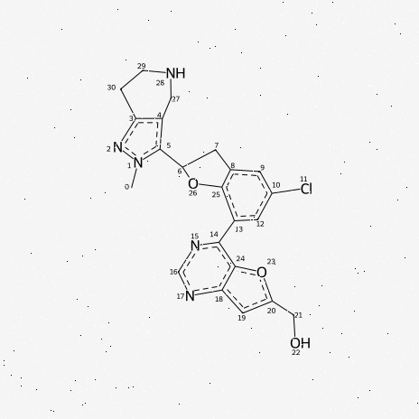 Cn1nc2c(c1C1Cc3cc(Cl)cc(-c4ncnc5cc(CO)oc45)c3O1)CNCC2